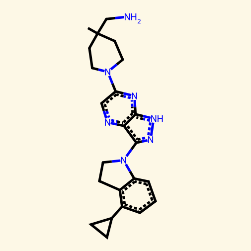 CC1(CN)CCN(c2cnc3c(N4CCc5c(C6CC6)cccc54)n[nH]c3n2)CC1